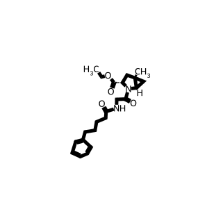 CCOC(=O)[C@@H]1C[C@]2(C)C[C@@H]2N1C(=O)CNC(=O)CCCCc1ccccc1